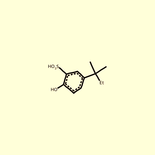 CCC(C)(C)c1ccc(O)c(S(=O)(=O)O)c1